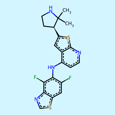 CC1(C)NCC[C@@H]1c1cc2c(Nc3c(F)cc4scnc4c3F)ccnc2s1